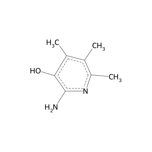 Cc1nc(N)c(O)c(C)c1C